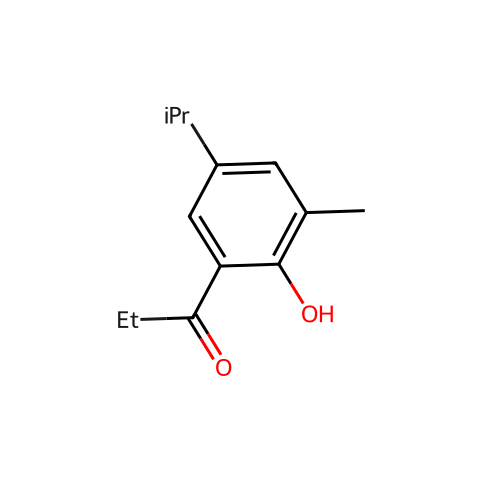 CCC(=O)c1cc(C(C)C)cc(C)c1O